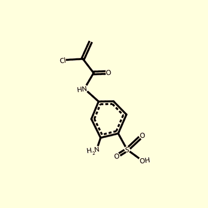 C=C(Cl)C(=O)Nc1ccc(S(=O)(=O)O)c(N)c1